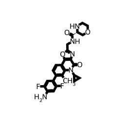 Cc1c(-c2cc(F)c(N)cc2F)ccc2c3oc(CNC(=O)[C@H]4COCCN4)nc3c(=O)n(C3CC3)c12